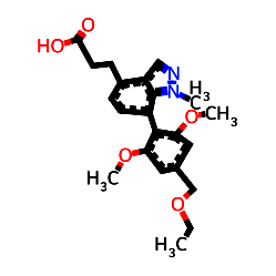 CCOCc1cc(OC)c(-c2ccc(CCC(=O)O)c3cnn(C)c23)c(OC)c1